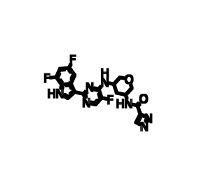 O=C(NC1COCC(Nc2nc(-c3c[nH]c4c(F)cc(F)cc34)ncc2F)C1)C1=CN=N1